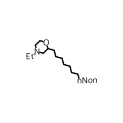 CCCCCCCCCCCCCCCCC1CN(CC)CCO1